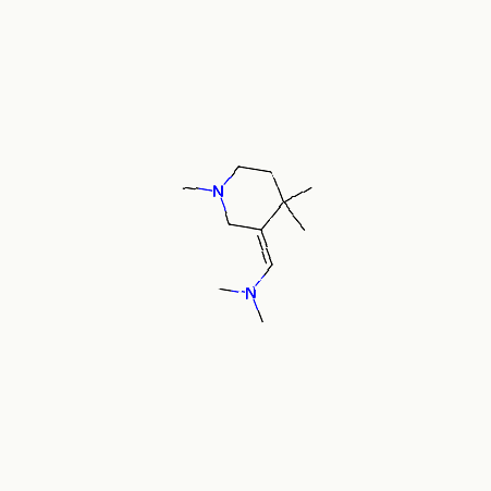 CN(C)/C=C1\CN(C)CCC1(C)C